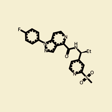 CC[C@H](NC(=O)c1nccc2c1cnn2-c1ccc(F)cc1)c1ccnc(S(C)(=O)=O)c1